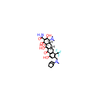 CN(C)[C@@H]1C(O)=C(C(N)=O)C(=O)[C@@]2(O)C(O)=C3C(=O)c4c(O)cc(CN(C)[C@@H]5CC6CCC5C6)c(C(F)(F)F)c4C[C@H]3C[C@@H]12